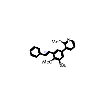 COc1ncccc1-c1cc(/C=C/c2ccccc2)c(OC)c(C(C)(C)C)c1